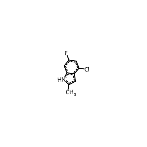 Cc1cc2c(Cl)cc(F)cc2[nH]1